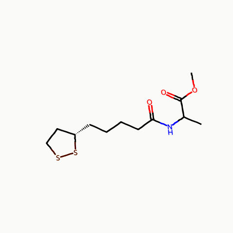 COC(=O)C(C)NC(=O)CCCC[C@H]1CCSS1